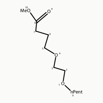 CCCCCOCCOCCCC(=O)OC